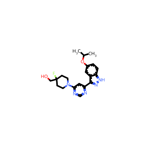 CC(C)Oc1ccc2[nH]nc(-c3cc(N4CCC(F)(CO)CC4)ncn3)c2c1